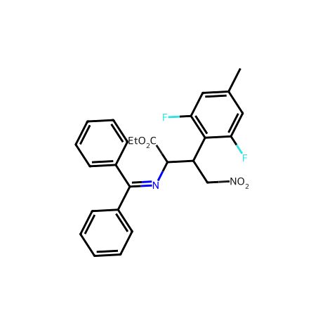 CCOC(=O)C(N=C(c1ccccc1)c1ccccc1)C(C[N+](=O)[O-])c1c(F)cc(C)cc1F